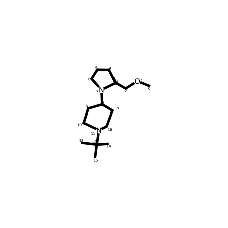 COCC1CCCN1C1CCN(C(C)(C)C)CC1